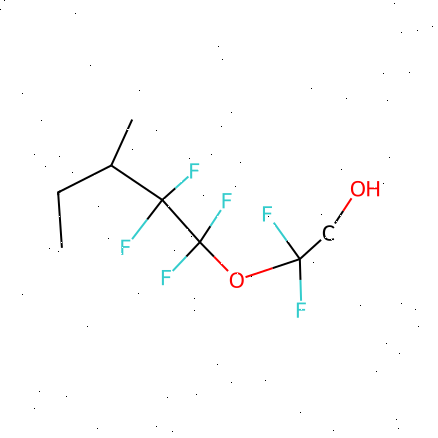 CCC(C)C(F)(F)C(F)(F)OC(F)(F)CO